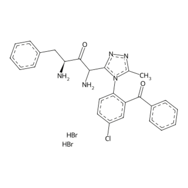 Br.Br.Cc1nnc(C(N)C(=O)[C@@H](N)Cc2ccccc2)n1-c1ccc(Cl)cc1C(=O)c1ccccc1